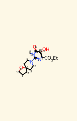 CCOC(=O)c1nc(N2CCC3(CCCO3)CC2)n(C)c(=O)c1O